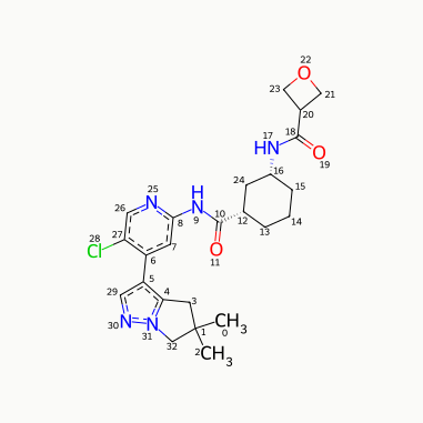 CC1(C)Cc2c(-c3cc(NC(=O)[C@H]4CCC[C@@H](NC(=O)C5COC5)C4)ncc3Cl)cnn2C1